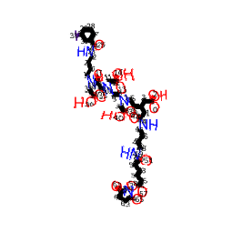 O=C(O)CC(CCN(CCN(CC(=O)O)CC(=O)N(CCCCNC(=O)c1cccc(I)c1)CC(=O)O)CC(=O)O)CC(=O)NCCCCNC(=O)CCCCC(=O)ON1C(=O)CCC1=O